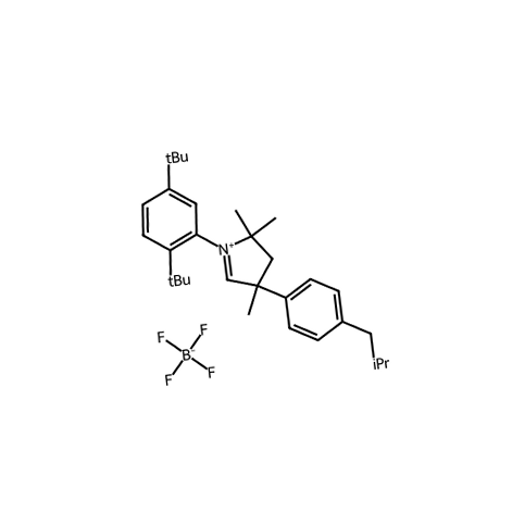 CC(C)Cc1ccc(C2(C)C=[N+](c3cc(C(C)(C)C)ccc3C(C)(C)C)C(C)(C)C2)cc1.F[B-](F)(F)F